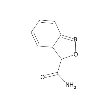 NC(=O)C1OB=C2C=CC=CC21